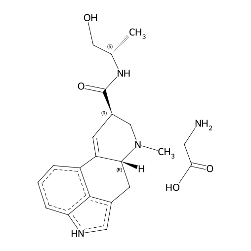 C[C@@H](CO)NC(=O)[C@@H]1C=C2c3cccc4[nH]cc(c34)C[C@H]2N(C)C1.NCC(=O)O